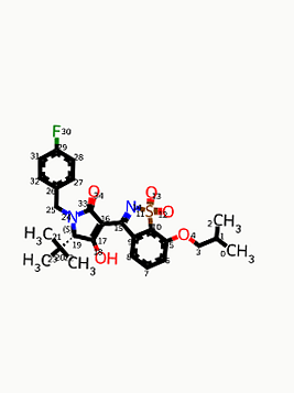 CC(C)COc1cccc2c1S(=O)(=O)N=C2C1=C(O)[C@H](C(C)(C)C)N(Cc2ccc(F)cc2)C1=O